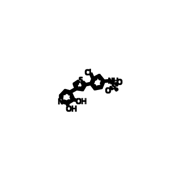 CS(=O)(=O)Nc1ccc(-c2cc(-c3ccnc(O)c3O)cs2)c(Cl)c1